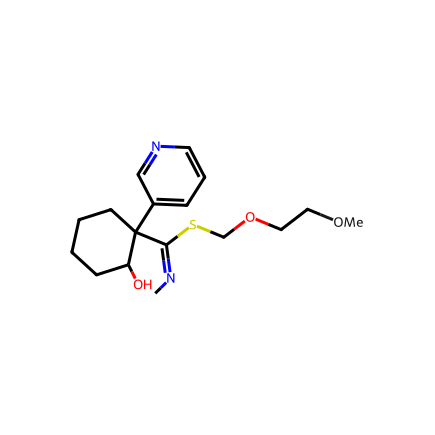 C/N=C(/SCOCCOC)C1(c2cccnc2)CCCCC1O